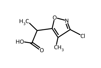 Cc1c(Cl)noc1C(C)C(=O)O